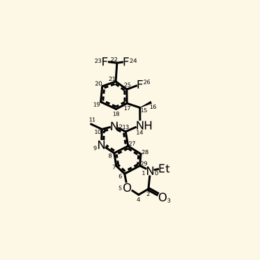 CCN1C(=O)COc2cc3nc(C)nc(N[C@H](C)c4cccc(C(F)F)c4F)c3cc21